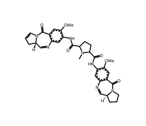 COc1cc2c(cc1NC(=O)C1CCC(C(=O)Nc3cc4c(cc3OC)C(=O)N3CCC[C@H]3C=N4)N1C)N=C[C@@H]1CC=CN1C2=O